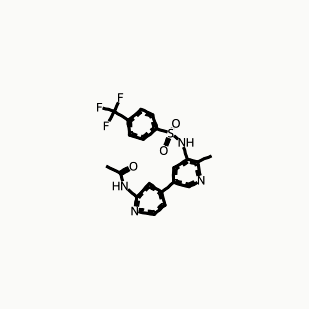 CC(=O)Nc1cc(-c2cnc(C)c(NS(=O)(=O)c3ccc(C(F)(F)F)cc3)c2)ccn1